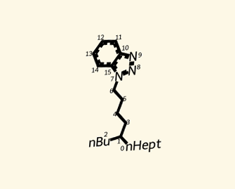 CCCCCCCC(CCCC)CCCCn1nnc2ccccc21